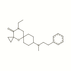 CCN1CC2(CCC(N(C)CCc3ccccc3)CC2)OC2(CC2)C1=O